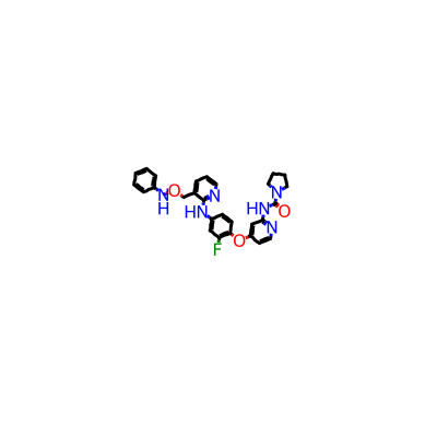 O=C(Nc1cc(Oc2ccc(Nc3ncccc3CONc3ccccc3)cc2F)ccn1)N1CCCC1